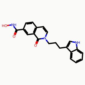 O=C(NO)c1ccc2ccn(CCCc3c[nH]c4ccccc34)c(=O)c2c1